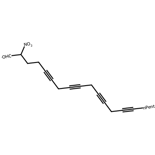 CCCCCC#CCC#CCC#CCC#CCCC([C]=O)[N+](=O)[O-]